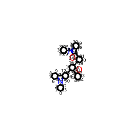 c1ccc(-n2c3ccccc3c3cc(-c4ccc(-c5cccc6c5oc5c6c6ccccc6n5-c5ccccc5)c5oc6ccccc6c45)ccc32)cc1